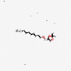 CCCCCCCCCCCCCCCCCCOC[C@H]1COC(C)(C)O1